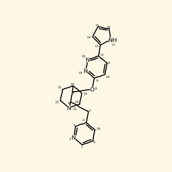 c1cncc(CC2C(Oc3ccc(-c4ccc[nH]4)nn3)C3CCN2CC3)c1